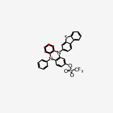 O=S(=O)(Oc1ccc(N(c2ccccc2)c2ccccc2)c(N(c2ccccc2)c2ccc3c(c2)sc2ccccc23)c1)C(F)(F)F